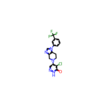 O=c1[nH]ncc(N2CCc3c(ncn3-c3cccc(C(F)(F)F)c3)C2)c1Cl